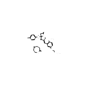 COCOc1ccc(OC)c(C=C2CN3C(=O)CC3(S(=O)(=O)c3ccc(Cl)cc3)C2=O)c1.O=C1CCNC(=O)CC1